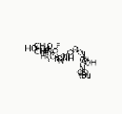 Cc1c(NC(=O)c2ccc(C(C)(C)O)cc2F)cc(F)cc1-c1ncnc2[nH]c(-c3ccc(OC4CCN(C[C@H](CO)OC5CCN(C(=O)OC(C)(C)C)CC5)CC4)cc3)cc12